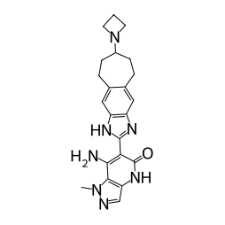 Cn1ncc2[nH]c(=O)c(-c3nc4cc5c(cc4[nH]3)CCC(N3CCC3)CC5)c(N)c21